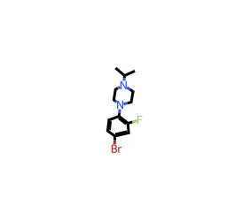 CC(C)N1CCN(c2ccc(Br)cc2F)CC1